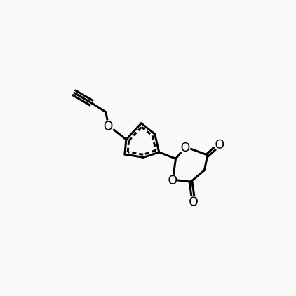 C#CCOc1ccc(C2OC(=O)CC(=O)O2)cc1